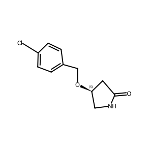 O=C1C[C@H](OCc2ccc(Cl)cc2)CN1